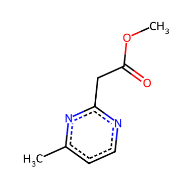 COC(=O)Cc1nccc(C)n1